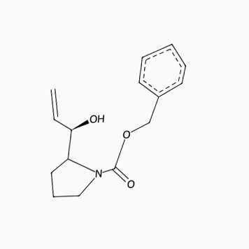 C=C[C@@H](O)C1CCCN1C(=O)OCc1ccccc1